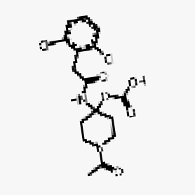 CC(=O)N1CCC(NC(=O)Cc2c(Cl)cccc2Cl)(OC(=O)O)CC1